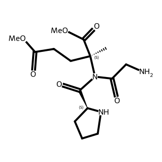 COC(=O)CC[C@@](C)(C(=O)OC)N(C(=O)CN)C(=O)[C@@H]1CCCN1